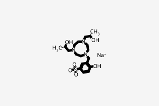 C[C@H](O)CN1CCN(Cc2cc(S(=O)(=O)[O-])ccc2O)CCN(C[C@H](C)O)CC1.[Na+]